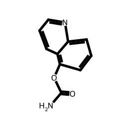 NC(=O)Oc1cccc2ncccc12